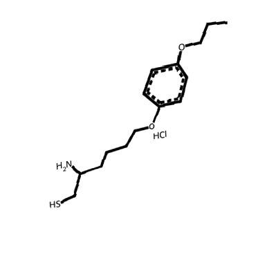 CCCOc1ccc(OCCCCC(N)CS)cc1.Cl